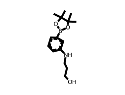 CC1(C)OB(c2cccc(NCCCO)c2)OC1(C)C